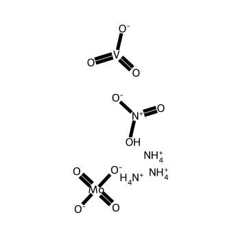 O=[N+]([O-])O.[NH4+].[NH4+].[NH4+].[O]=[Mo](=[O])([O-])[O-].[O]=[V](=[O])[O-]